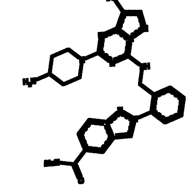 CNC(=O)c1ccc2nn(-c3ccccc3CNc3nc(N4CCC(N)CC4)nc4c(C(C)C)cnn34)cc2c1